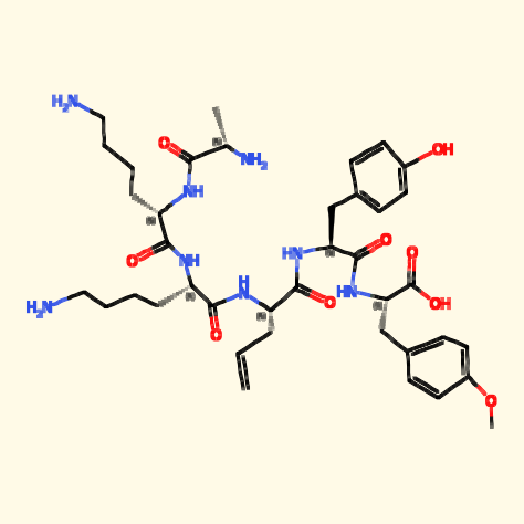 C=CC[C@H](NC(=O)[C@H](CCCCN)NC(=O)[C@H](CCCCN)NC(=O)[C@H](C)N)C(=O)N[C@@H](Cc1ccc(O)cc1)C(=O)N[C@@H](Cc1ccc(OC)cc1)C(=O)O